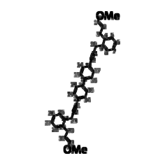 COC=CCc1ccccc1CC#Cc1ccc(-c2ccc(C#CCc3ccccc3CC=COC)cc2)cc1